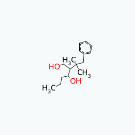 CCCC(O)C(CO)C(C)(C)Cc1ccccc1